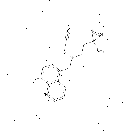 C#CCN(CCC1(C)N=N1)Cc1ccc(O)c2ncccc12